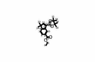 CCOC(=O)c1ccc2c(c1)C(B1OC(C)(C)C(C)(C)O1)=CC2(C)C